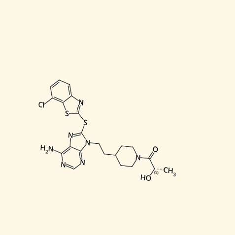 C[C@H](O)C(=O)N1CCC(CCn2c(Sc3nc4cccc(Cl)c4s3)nc3c(N)ncnc32)CC1